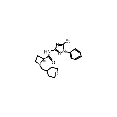 CCc1nc(NC(=O)[C@@H]2CCN2CC2CCOCC2)nn1-c1ccccc1